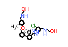 Cc1cc(CNCCO)ccc1OCc1cccc(-c2cccc(-c3nc4c(Cl)cc(CNCCO)cn4n3)c2C)c1C